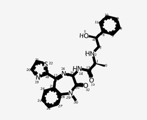 C[C@H](NCC(O)c1ccccc1)C(=O)NC1N=C(c2nccs2)c2ccccc2N(C)C1=O